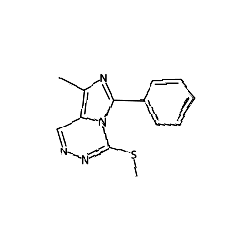 CSc1nncc2c(C)nc(-c3ccccc3)n12